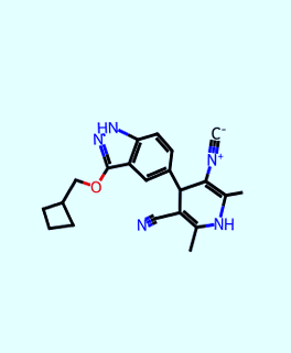 [C-]#[N+]C1=C(C)NC(C)=C(C#N)C1c1ccc2[nH]nc(OCC3CCC3)c2c1